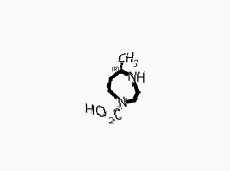 C[C@@H]1CCN(C(=O)O)CCN1